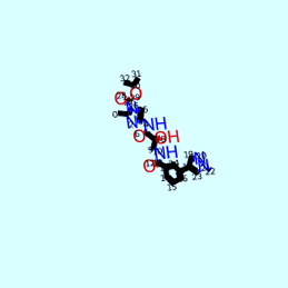 Cc1nc(NC(=O)C(O)CNC(=O)c2cccc(-c3cnn(C)c3)c2)cn1C(=O)OC(C)C